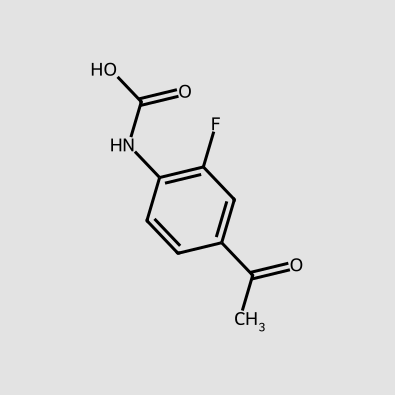 CC(=O)c1ccc(NC(=O)O)c(F)c1